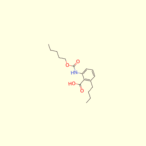 CCCCCOC(=O)Nc1cccc(CCCC)c1C(=O)O